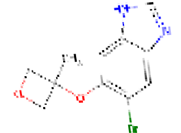 CC1(Oc2cc3[nH]cnc3cc2Br)COC1